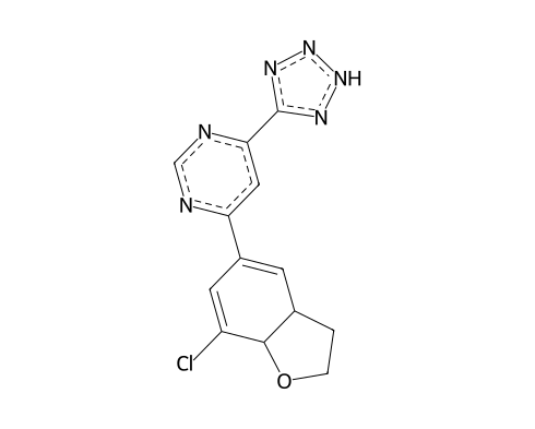 ClC1=CC(c2cc(-c3nn[nH]n3)ncn2)=CC2CCOC12